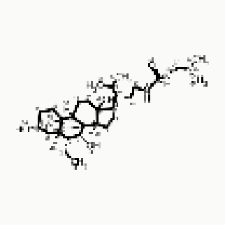 CC[C@H]1[C@@H](O)[C@H]2[C@@H]3CC[C@H]([C@@H](CCNC(=O)NSN(C)C)C(C)C)C3(C)CC[C@@H]2[C@@]2(C)CC[C@@H](O)C[C@@H]12